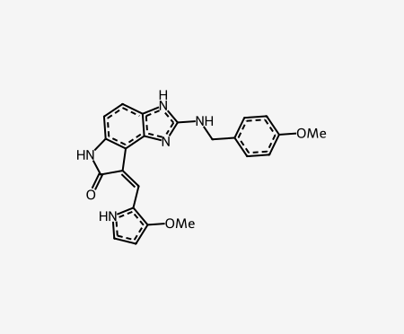 COc1ccc(CNc2nc3c4c(ccc3[nH]2)NC(=O)C4=Cc2[nH]ccc2OC)cc1